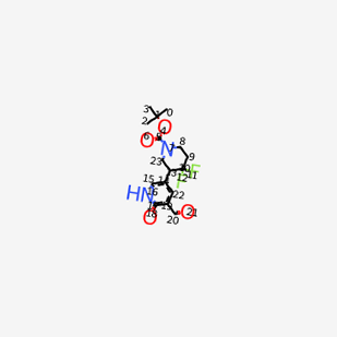 CC(C)(C)OC(=O)N1CCC(F)(F)C(c2c[nH]c(=O)c(C=O)c2)C1